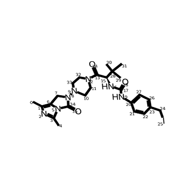 Cc1nc(C)n2c1CN(N1CCN(C(=O)[C@H](NC(=O)Nc3ccc(CI)cc3)C(C)(C)C)CC1)C2=O